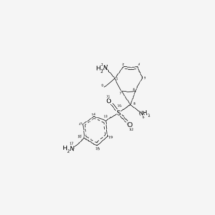 CC1(N)C=CCC2C1C2(N)S(=O)(=O)c1ccc(N)cc1